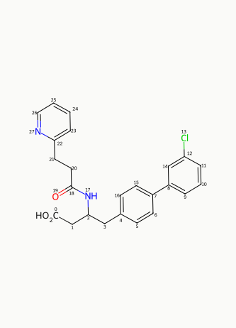 O=C(O)CC(Cc1ccc(-c2cccc(Cl)c2)cc1)NC(=O)CCc1ccccn1